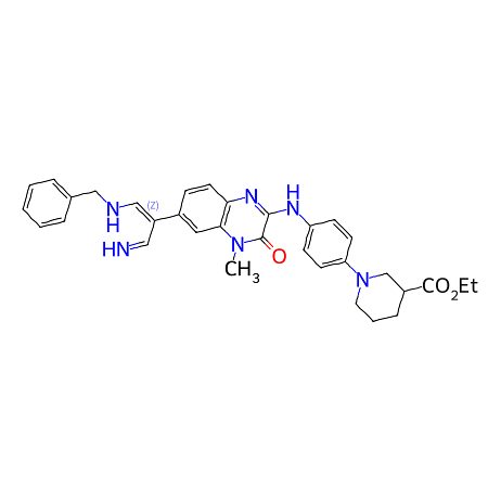 CCOC(=O)C1CCCN(c2ccc(Nc3nc4ccc(/C(C=N)=C/NCc5ccccc5)cc4n(C)c3=O)cc2)C1